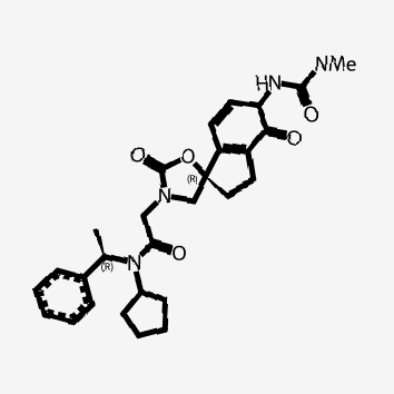 CNC(=O)NC1C=CC2=C(CC[C@]23CN(CC(=O)N(C2CCCC2)[C@H](C)c2ccccc2)C(=O)O3)C1=O